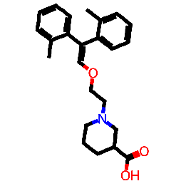 Cc1ccccc1C(=COCCN1CCCC(C(=O)O)C1)c1ccccc1C